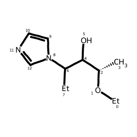 CCO[C@@H](C)C(O)C(CC)n1ccnc1